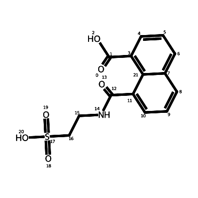 O=C(O)c1cccc2cccc(C(=O)NCCS(=O)(=O)O)c12